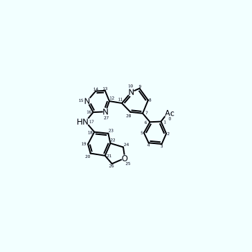 CC(=O)c1ccccc1-c1ccnc(-c2ccnc(Nc3ccc4c(c3)COC4)n2)c1